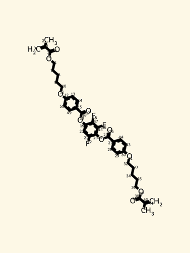 C=C(C)C(=O)OCCCCCOc1ccc(C(=O)Oc2cc(F)c(OC(=O)c3ccc(OCCCCCOC(=O)C(=C)C)cc3)c(F)c2F)cc1